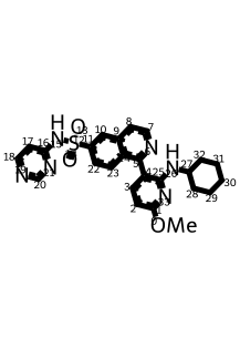 COc1ccc(-c2nccc3cc(S(=O)(=O)Nc4ccncn4)ccc23)c(NC2CCCCC2)n1